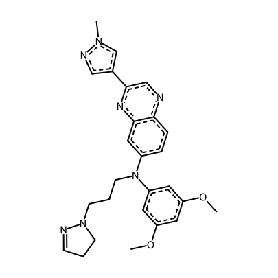 COc1cc(OC)cc(N(CCCN2CCC=N2)c2ccc3ncc(-c4cnn(C)c4)nc3c2)c1